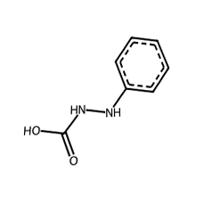 O=C(O)NNc1ccccc1